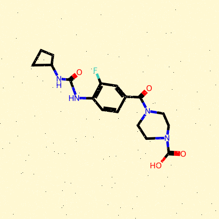 O=C(Nc1ccc(C(=O)N2CCN(C(=O)O)CC2)cc1F)NC1CCC1